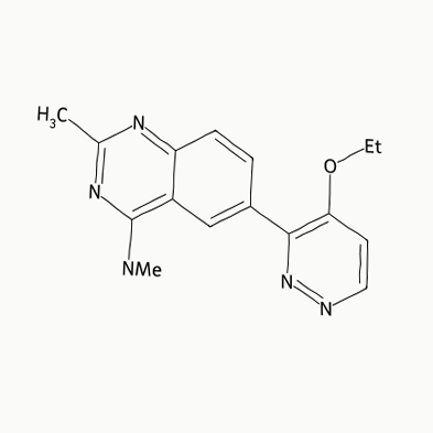 CCOc1ccnnc1-c1ccc2nc(C)nc(NC)c2c1